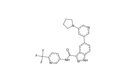 O=C(Nc1ccc(C(F)(F)F)nc1)c1n[nH]c2ccc(-c3cncc(N4CCCC4)c3)cc12